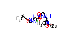 CC(C)(C)OC(=O)N1CC(CCNc2cccc(S(=O)(=O)NC(=O)c3ccc(-n4ccc(OCCCC5(C(F)(F)F)CC5)n4)nc3Cl)n2)CC1(C)C